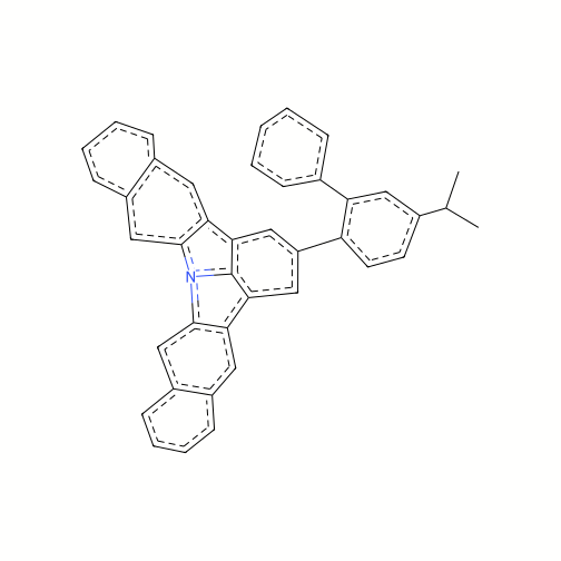 CC(C)c1ccc(-c2cc3c4cc5ccccc5cc4n4c5cc6ccccc6cc5c(c2)c34)c(-c2ccccc2)c1